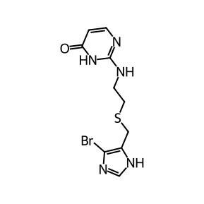 O=c1ccnc(NCCSCc2[nH]cnc2Br)[nH]1